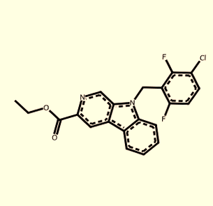 CCOC(=O)c1cc2c3ccccc3n(Cc3c(F)ccc(Cl)c3F)c2cn1